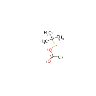 CC(C)(C)SOC(=O)Cl